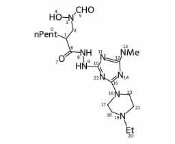 CCCCCC(CN(O)C=O)C(=O)NNc1nc(NC)nc(N2CCN(CC)CC2)n1